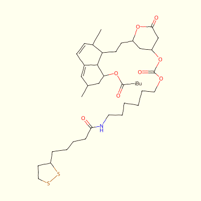 CCC(C)C(=O)OC1CC(C)C=C2C=CC(C)C(CCC3CC(OC(=O)OCCCCCCNC(=O)CCCCC4CCSS4)CC(=O)O3)C21